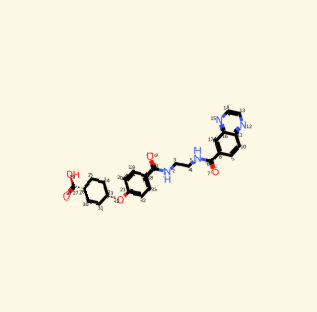 O=C(NCCNC(=O)c1ccc2nccnc2c1)c1ccc(O[C@H]2CC[C@@H](C(=O)O)CC2)cc1